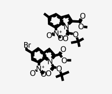 COC(=O)c1cc2cc(C)cc([N+](=O)[O-])c2n1C(=O)OC(C)(C)C.COC(=O)c1cc2cc(CBr)cc([N+](=O)[O-])c2n1C(=O)OC(C)(C)C